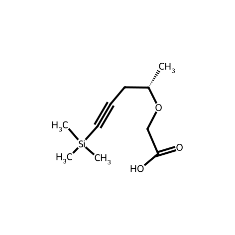 C[C@@H](CC#C[Si](C)(C)C)OCC(=O)O